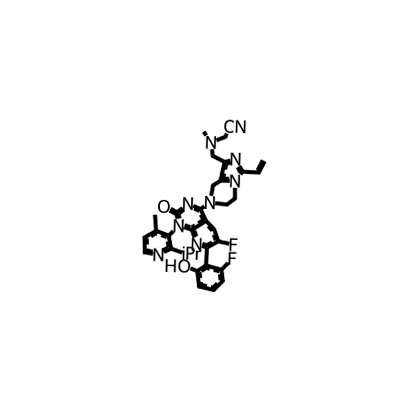 C=Cc1nc(CN(C)CC#N)c2n1CCN(c1nc(=O)n(-c3c(C)ccnc3C(C)C)c3nc(-c4c(O)cccc4F)c(F)cc13)C2